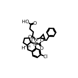 O=C(O)CCC(=O)N(C1CC1)[N@@+]1(C(=O)OCc2ccccc2)c2cc(Cl)ccc2C[C@H]2CCC[C@H]21